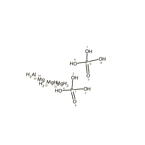 O=P(O)(O)O.O=P(O)(O)O.[AlH3].[MgH2].[MgH2].[MgH2]